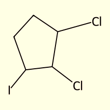 ClC1CCC(I)C1Cl